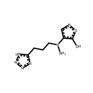 NN(CCCc1nnn[nH]1)c1cnoc1O